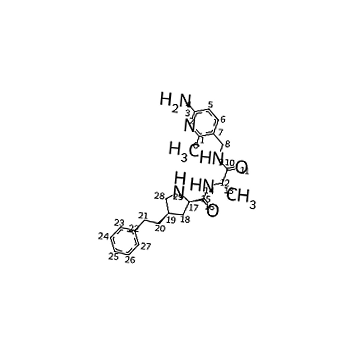 Cc1nc(N)ccc1CNC(=O)[C@H](C)NC(=O)[C@H]1C[C@@H](CCc2ccccc2)CN1